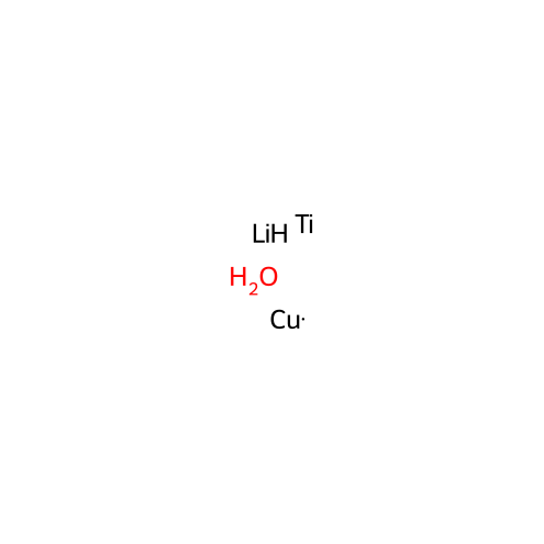 O.[Cu].[LiH].[Ti]